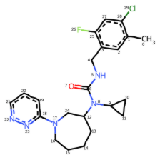 Cc1cc(CNC(=O)N(C2CC2)C2CCCCN(c3cccnn3)C2)c(F)cc1Cl